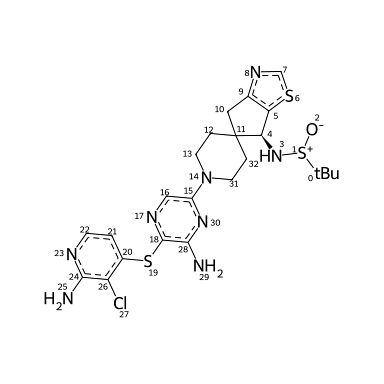 CC(C)(C)[S+]([O-])N[C@@H]1c2scnc2CC12CCN(c1cnc(Sc3ccnc(N)c3Cl)c(N)n1)CC2